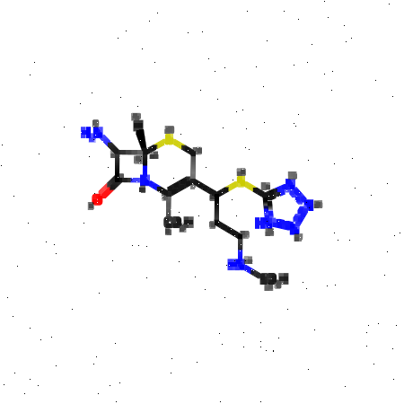 NC1C(=O)N2C(C(=O)O)=C(C(CCNS(=O)(=O)O)Sc3nnn[nH]3)CS[C@@H]12